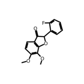 COc1ccc2c(c1OC)OC(c1ccccc1F)C2=O